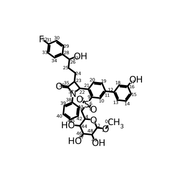 COC1OC(CS(=O)(=O)c2cc(-c3cccc(O)c3)ccc2C2C(CCC(O)c3ccc(F)cc3)C(=O)N2c2ccccc2)C(O)C(O)C1O